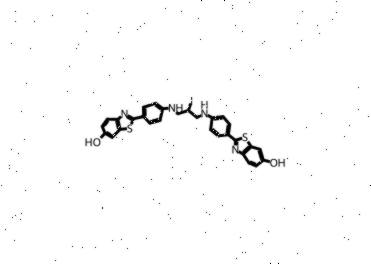 Oc1ccc2nc(-c3ccc(NCC(I)CNc4ccc(-c5nc6ccc(O)cc6s5)cc4)cc3)sc2c1